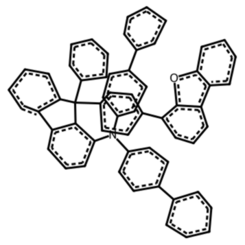 c1ccc(-c2ccc(N(c3ccc(-c4ccccc4)cc3)c3cccc4c3C(c3ccccc3)(c3ccc(-c5cccc6c5oc5ccccc56)cc3)c3ccccc3-4)cc2)cc1